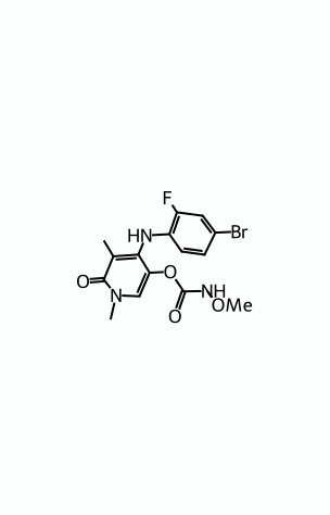 CONC(=O)Oc1cn(C)c(=O)c(C)c1Nc1ccc(Br)cc1F